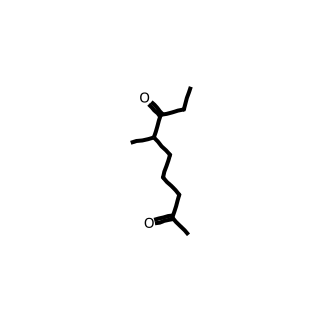 CCC(=O)C(C)CCCC(C)=O